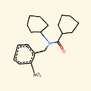 O=C(C1CCCCC1)N(Cc1ccccc1[N+](=O)[O-])C1CCCCC1